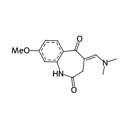 COc1ccc2c(c1)NC(=O)CC(=CN(C)C)C2=O